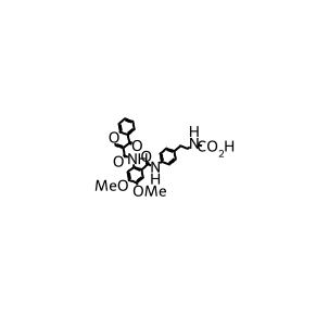 COc1cc(NC(=O)c2coc3ccccc3c2=O)c(C(=O)Nc2ccc(CCNC(=O)O)cc2)cc1OC